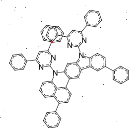 c1ccc(-c2ccc3c(c2)c2cc4c(cc2n3-c2nc(-c3ccccc3)cc(-c3ccccc3)n2)N(c2nc(-c3ccccc3)cc(-c3ccccc3)n2)c2cccc3c(-c5ccccc5)ccc-4c23)cc1